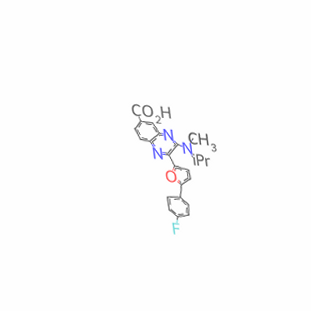 CC(C)N(C)c1nc2cc(C(=O)O)ccc2nc1-c1ccc(-c2ccc(F)cc2)o1